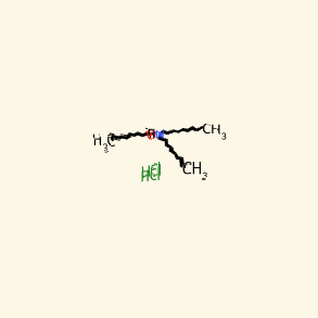 CCCCCCCCCC[O][Ti][N](CCCCCCCCCC)CCCCCCCCCC.Cl.Cl